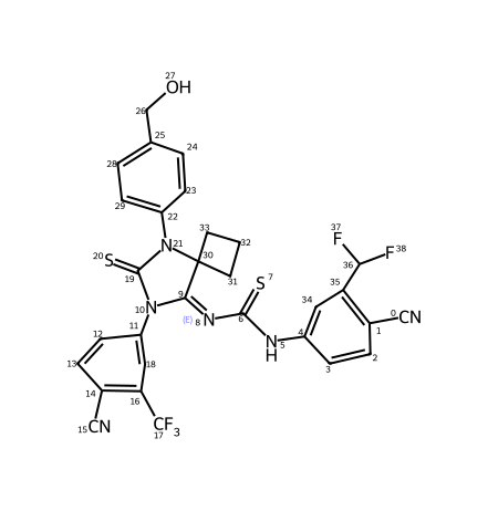 N#Cc1ccc(NC(=S)/N=C2/N(c3ccc(C#N)c(C(F)(F)F)c3)C(=S)N(c3ccc(CO)cc3)C23CCC3)cc1C(F)F